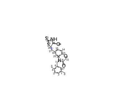 Cc1ccc(C)c(CN2C(=O)COc3ccc(/C=C4/SC(=S)NC4=O)cc32)c1